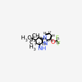 CC(C)(C)C1CC(=N)c2nc3c(OC(F)F)cccn3c2C1